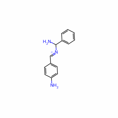 Nc1ccc(/C=N/C(N)c2ccccc2)cc1